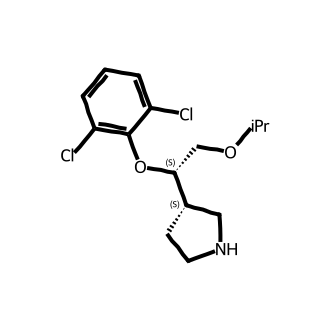 CC(C)OC[C@@H](Oc1c(Cl)cccc1Cl)[C@H]1CCNC1